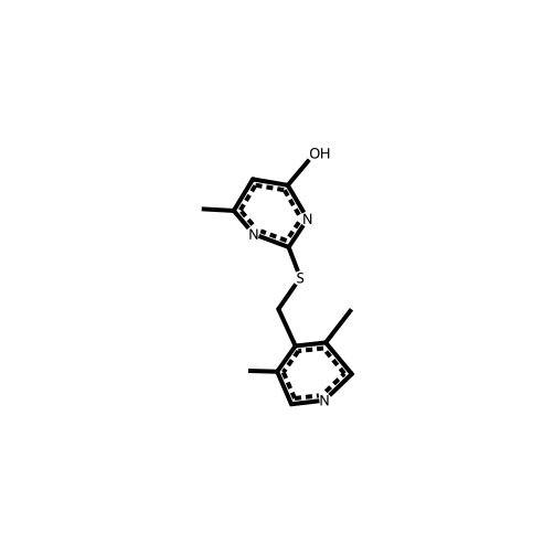 Cc1cc(O)nc(SCc2c(C)cncc2C)n1